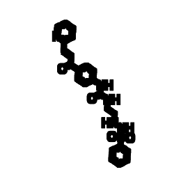 O=C(NCCNNS(=O)(=O)c1ccccc1)Nc1ccc(C(=O)C=Cc2ccccn2)cc1